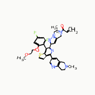 C=CC(=O)N1Cc2cc(-c3nc(-c4cnc5c(c4)CN(C)CC5)c4ccsc4c3-c3c(F)cc(F)cc3OCCOC)nn2C[C@H]1C